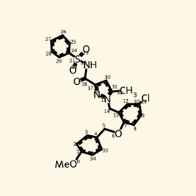 COc1ccc(COc2ccc(Cl)cc2Cn2nc(C(=O)NS(=O)(=O)c3ccccc3)cc2C)cc1